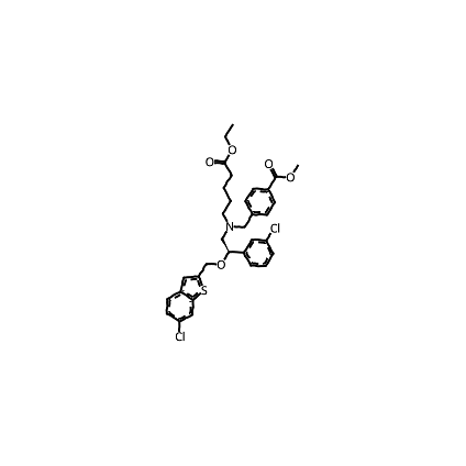 CCOC(=O)CCCCN(Cc1ccc(C(=O)OC)cc1)C[C@H](OCc1cc2ccc(Cl)cc2s1)c1cccc(Cl)c1